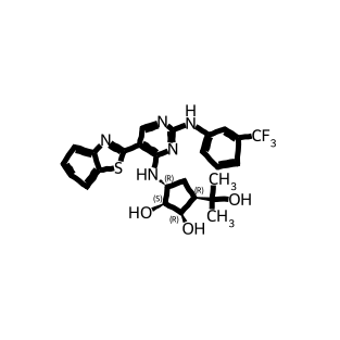 CC(C)(O)[C@@H]1C[C@@H](Nc2nc(Nc3cccc(C(F)(F)F)c3)ncc2-c2nc3ccccc3s2)[C@H](O)[C@@H]1O